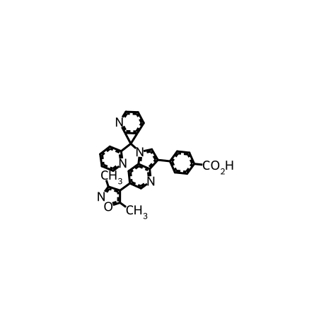 Cc1noc(C)c1-c1cnc2c(-c3ccc(C(=O)O)cc3)cn(C3(c4ccccn4)c4cccnc43)c2c1